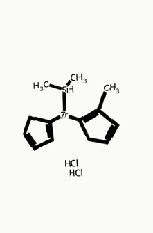 CC1=[C]([Zr]([C]2=CC=CC2)[SiH](C)C)CC=C1.Cl.Cl